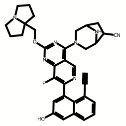 C#Cc1cccc2cc(O)cc(-c3ncc4c(N5CC6CC(C#N)C(C5)N6)nc(OCC56CCCN5CCC6)nc4c3F)c12